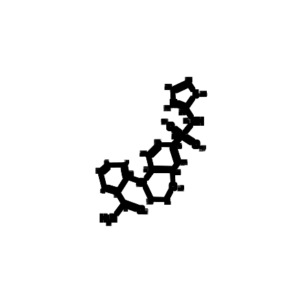 NC(=O)c1ccccc1N1CCOc2cc(S(=O)(=O)Nc3nccs3)ccc21